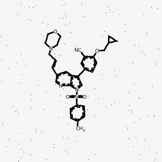 Cc1ccc(S(=O)(=O)n2cc(-c3ccc(OCC4CC4)c(C#N)c3)c3cc(C=CCN4CCOCC4)cnc32)cc1